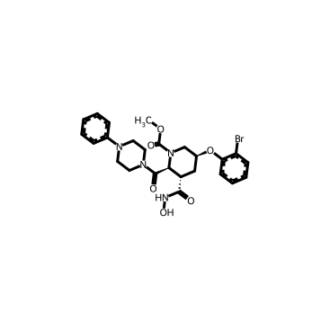 COC(=O)N1C[C@@H](Oc2ccccc2Br)C[C@H](C(=O)NO)[C@H]1C(=O)N1CCN(c2ccccc2)CC1